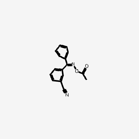 CC(=O)ON=C(c1ccccc1)c1cccc(C#N)c1